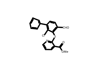 COC(=O)c1cccnc1Sc1c(C=O)ccc(-c2ccccc2)c1Cl